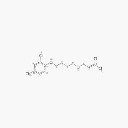 ClC(Cl)=CCOCCCCOc1ccc(Cl)cc1Cl